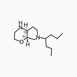 CCCC(CCC)N1CC[C@@H]2NCCO[C@H]2C1